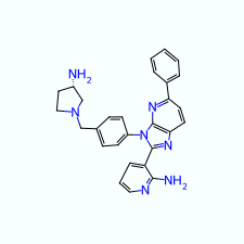 Nc1ncccc1-c1nc2ccc(-c3ccccc3)nc2n1-c1ccc(CN2CC[C@H](N)C2)cc1